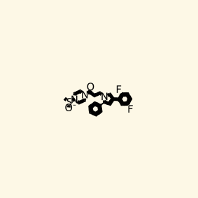 C[S+]([O-])N1CCN(C(=O)CCN2CC(c3cc(F)ccc3F)=C[C@H]2c2ccccc2)CC1